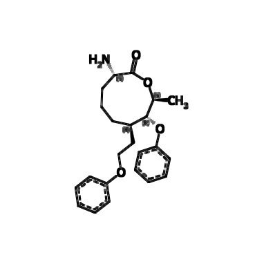 C[C@@H]1OC(=O)[C@@H](N)CCC[C@H](CCOc2ccccc2)[C@H]1Oc1ccccc1